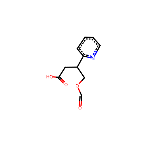 O=COCC(CC(=O)O)c1ccccn1